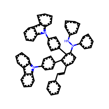 C(=Cc1ccc(N(Nc2ccccc2)c2ccccc2)c(-c2ccc(-n3c4ccccc4c4ccccc43)cc2)c1-c1ccc(-n2c3ccccc3c3ccccc32)cc1)c1ccccc1